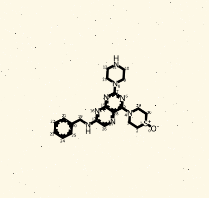 [O-][S+]1CCN(c2nc(N3CCNCC3)nc3nc(NCc4ccccc4)cnc23)CC1